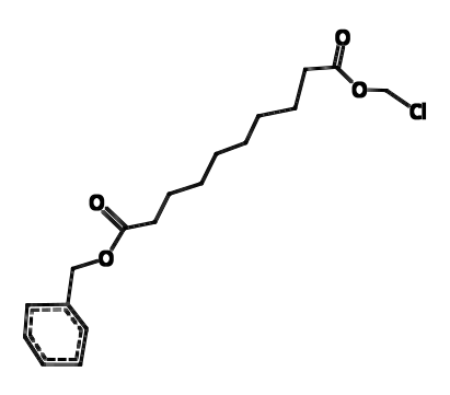 O=C(CCCCCCCCC(=O)OCc1ccccc1)OCCl